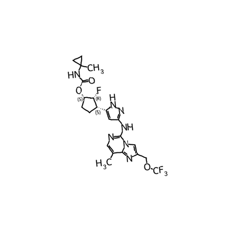 Cc1cnc(Nc2cc([C@@H]3CC[C@H](OC(=O)NC4(C)CC4)[C@@H]3F)[nH]n2)n2cc(COC(F)(F)F)nc12